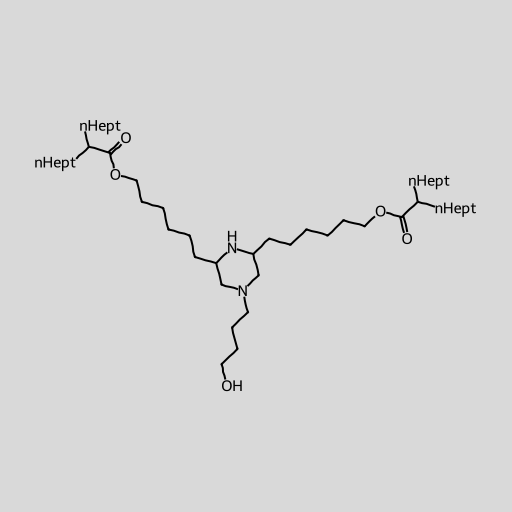 CCCCCCCC(CCCCCCC)C(=O)OCCCCCCC1CN(CCCCO)CC(CCCCCCOC(=O)C(CCCCCCC)CCCCCCC)N1